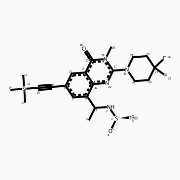 CC(N[S@+]([O-])C(C)(C)C)c1cc(C#C[Si](C)(C)C)cc2c(=O)n(C)c(N3CCC(F)(F)CC3)nc12